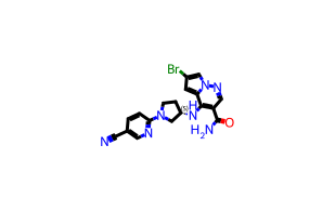 N#Cc1ccc(N2CC[C@H](Nc3c(C(N)=O)cnn4cc(Br)cc34)C2)nc1